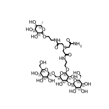 C[C@@H]1O[C@@H](OCCNC(=O)CN(CC(N)=O)CC(=O)NCCO[C@@H]2O[C@H](CO[C@H]3O[C@H](CO)[C@@H](O)[C@H](O)[C@@H]3O)[C@@H](O)[C@H](O[C@H]3O[C@H](CO)[C@@H](O)[C@H](O)[C@@H]3O)[C@@H]2O)[C@@H](O)[C@H](O)[C@@H]1O